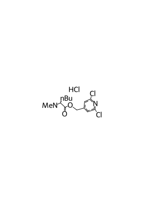 CCCC[C@H](NC)C(=O)OCc1cc(Cl)nc(Cl)c1.Cl